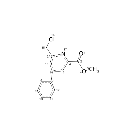 COC(=O)c1cc(-c2ccccc2)cc(CCl)n1